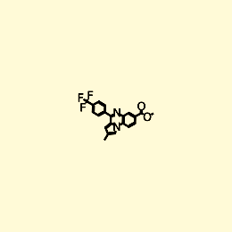 COC(=O)c1ccc2c(c1)nc(-c1ccc(C(F)(F)F)cc1)c1cc(C)cn12